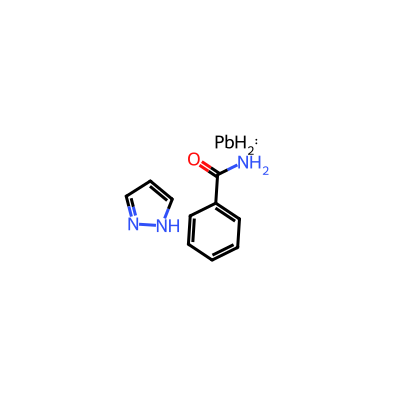 NC(=O)c1ccccc1.[PbH2].c1cn[nH]c1